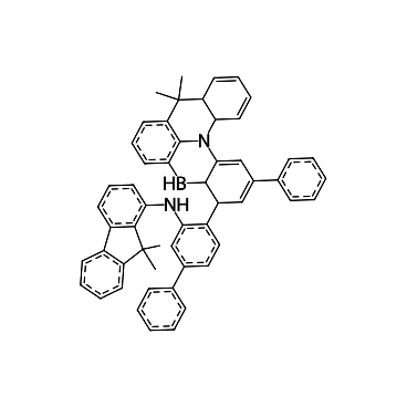 CC1(C)c2ccccc2-c2cccc(Nc3cc(-c4ccccc4)ccc3C3C=C(c4ccccc4)C=C4C3Bc3cccc5c3N4C3C=CC=CC3C5(C)C)c21